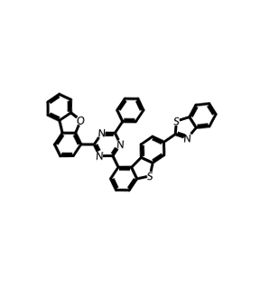 c1ccc(-c2nc(-c3cccc4c3oc3ccccc34)nc(-c3cccc4sc5cc(-c6nc7ccccc7s6)ccc5c34)n2)cc1